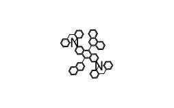 c1ccc2c(c1)Cc1ccccc1N2c1ccc2c(-c3cc4ccccc4c4ccccc34)c3cc(N4c5ccccc5Cc5ccccc54)ccc3c(-c3ccc4ccccc4c3)c2c1